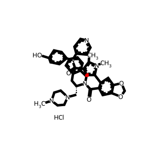 Cc1c(C(=O)N(c2ccncc2)c2ccc(O)cc2)cc(-c2cc3c(cc2C(=O)N2Cc4ccccc4C[C@H]2CN2CCN(C)CC2)OCO3)n1C.Cl